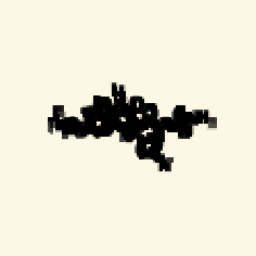 N#Cc1ccc(-n2nc3c(c2C(=O)NCCS(N)(=O)=O)C(=O)N[C@]2(CCc4cc(OCC(F)(F)F)ccc42)C3)nc1